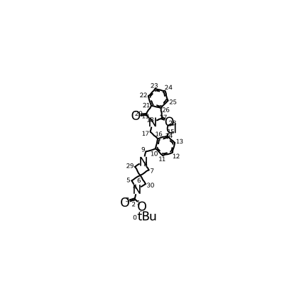 CC(C)(C)OC(=O)N1CC2(CN(Cc3cccc(Cl)c3CN3C(=O)c4ccccc4C3=O)C2)C1